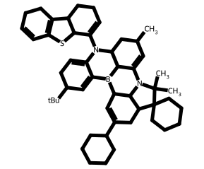 CC1C=C2C3B(C4=CC(C(C)(C)C)CC=C4N(C4=CCCC5C6=C(C=CCC6)SC45)C3C1)C1C=C(C3CCCCC3)CC3C1N2C(C)(C)C31CCCCC1